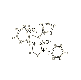 O=[N+]([O-])CC(c1cccs1)P1(=O)N(c2ccccc2)CCN1c1ccccc1